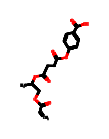 C=CC(=O)OCC(C)OC(=O)CCC(=O)Oc1ccc(C(=O)O)cc1